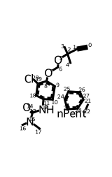 C#CC(C)(C)OCOc1ccc(NC(=O)N(C)C)cc1Cl.CCCCCC.c1ccccc1